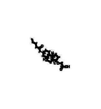 CCCCC(=O)C[C@@H]1CCC2[C@H](CC[C@]3(C)[C@@H](OCC(=O)O)CC[C@@H]23)C1